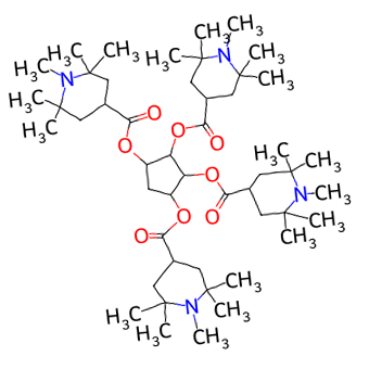 CN1C(C)(C)CC(C(=O)OC2CC(OC(=O)C3CC(C)(C)N(C)C(C)(C)C3)C(OC(=O)C3CC(C)(C)N(C)C(C)(C)C3)C2OC(=O)C2CC(C)(C)N(C)C(C)(C)C2)CC1(C)C